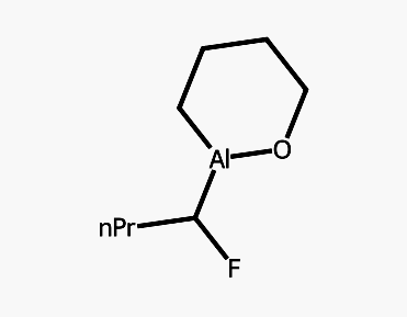 CCC[CH](F)[Al]1[CH2]CCC[O]1